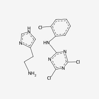 Clc1nc(Cl)nc(Nc2ccccc2Cl)n1.NCCc1c[nH]cn1